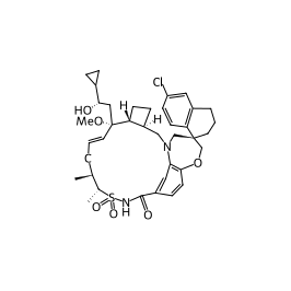 CO[C@@]1(C[C@H](O)C2CC2)/C=C/C[C@H](C)[C@@H](C)S(=O)(=O)NC(=O)c2ccc3c(c2)N(C[C@@H]2CC[C@H]21)C[C@@]1(CCCc2cc(Cl)ccc21)CO3